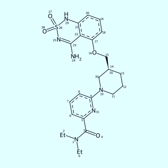 CCN(CC)C(=O)c1cccc(N2CCC[C@H](COc3cccc4c3C(N)=NS(=O)(=O)N4)C2)n1